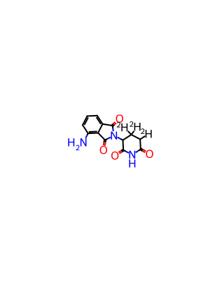 [2H]C1C(=O)NC(=O)C(N2C(=O)c3cccc(N)c3C2=O)C1([2H])[2H]